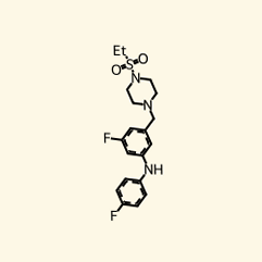 CCS(=O)(=O)N1CCN(Cc2cc(F)cc(Nc3ccc(F)cc3)c2)CC1